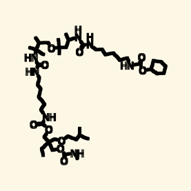 CCC(COCCC(C)C)(COC(=O)NC)COC(=O)NCCCCCCNC(=O)NC(C)(C)C(C)COC(C)(C)CC(C)NC(=O)NCCCCCCNC(=O)OC1CCCCC1